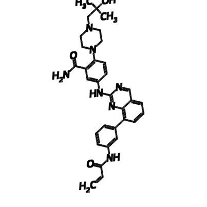 C=CC(=O)Nc1cccc(-c2cccc3cnc(Nc4ccc(N5CCN(CC(C)(C)O)CC5)c(C(N)=O)c4)nc23)c1